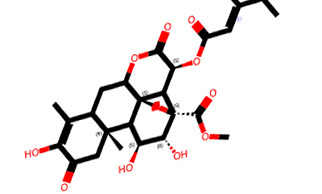 COC(=O)[C@@]12OC[C@]34C(CC5C(C)=C(O)C(=O)C[C@@]5(C)C3[C@H](O)[C@H]1O)OC(=O)[C@@H](OC(=O)/C=C(\C)C(C)C)C42